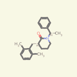 Cc1cccc(C)c1C[C@H]1CCCN([C@@H](C)c2ccccc2)C1=O